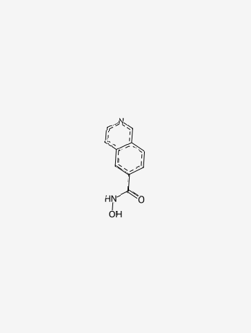 O=C(NO)c1ccc2cnccc2c1